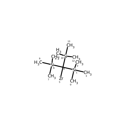 C[Si](C)(C)[C]([Zr])([Si](C)(C)C)[Si](C)(C)C